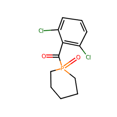 O=C(c1c(Cl)cccc1Cl)P1(=O)CCCCC1